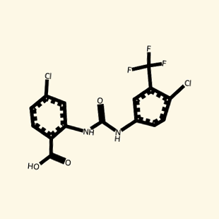 O=C(Nc1ccc(Cl)c(C(F)(F)F)c1)Nc1cc(Cl)ccc1C(=O)O